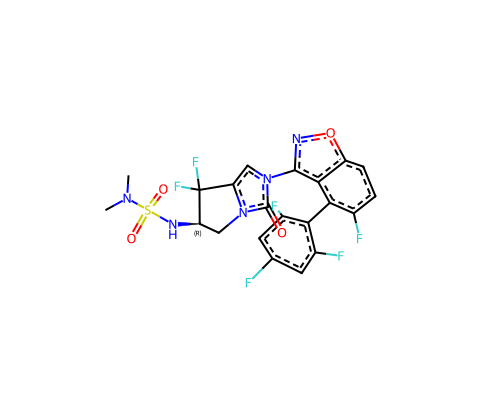 CN(C)S(=O)(=O)N[C@@H]1Cn2c(cn(-c3noc4ccc(F)c(-c5c(F)cc(F)cc5F)c34)c2=O)C1(F)F